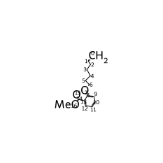 C=CCCCCCOc1ccccc1C(=O)OC